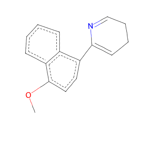 COc1ccc(C2=CCCC=N2)c2ccccc12